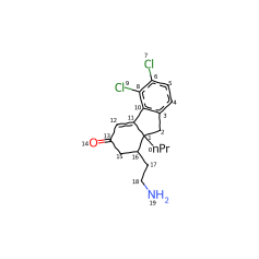 CCCC12Cc3ccc(Cl)c(Cl)c3C1=CC(=O)CC2CCN